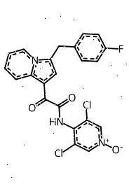 O=C(Nc1c(Cl)c[n+]([O-])cc1Cl)C(=O)c1cc(Cc2ccc(F)cc2)n2ccccc12